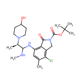 CNC(Nc1cc(C)c(Cl)c2c1C(=O)N(C(=O)OC(C)(C)C)C2)[C@@H](C)N1CCC(O)CC1